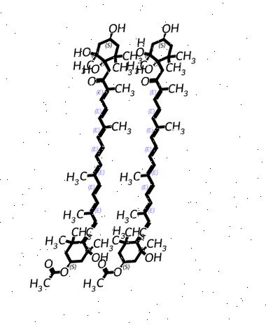 CC(=O)O[C@H]1CC(C)(C)C(=C=C/C(C)=C/C=C/C(C)=C/C=C/C=C(C)/C=C/C=C(\C)C(=O)C[C@]2(O)C(C)(C)C[C@H](O)C[C@@]2(C)O)[C@](C)(O)C1.CC(=O)O[C@H]1CC(C)(C)C(=C=C/C(C)=C/C=C/C(C)=C/C=C/C=C(C)/C=C/C=C(\C)C(=O)C[C@]2(O)C(C)(C)C[C@H](O)C[C@@]2(C)O)[C@](C)(O)C1